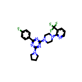 Fc1ccc(-c2nc(N3CCCC3)nc(N3CCN(c4ncccc4C(F)(F)F)CC3)n2)cc1